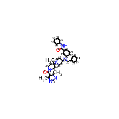 Cc1ncnc(C)c1C(=O)N1CCC(C)(N2CCC(N(Cc3ccccc3)c3cccc(C(=O)Nc4ccccc4)c3)CC2)CC1